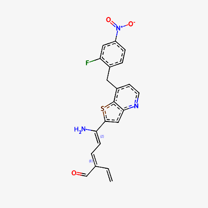 C=C/C(C=O)=C\C=C(/N)c1cc2nccc(Cc3ccc([N+](=O)[O-])cc3F)c2s1